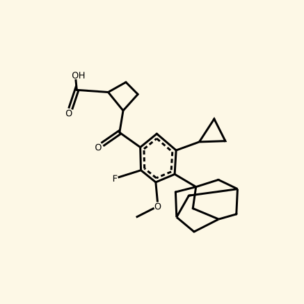 COc1c(F)c(C(=O)C2CCC2C(=O)O)cc(C2CC2)c1C12CC3CC(CC(C3)C1)C2